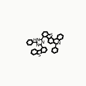 c1ccc(C2=NC(c3cccc4sc5ccccc5c34)=NC(c3cccc4sc5c(ccc6c(-c7ccccc7)nc7ccccc7c65)c34)N2)cc1